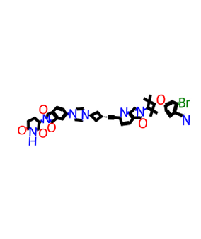 CC1(C)[C@H](Oc2ccc(C#N)c(Br)c2)C(C)(C)[C@H]1N1Cc2nc(C#C[C@H]3C[C@H](N4CCN(c5ccc6c(c5)C(=O)N(C5CCC(=O)NC5=O)C6=O)CC4)C3)ccc2C1=O